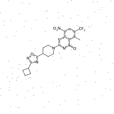 Cc1c(C(F)(F)F)cc([N+](=O)[O-])c2sc(N3CCC(c4nc(C5CCC5)no4)CC3)nc(=O)c12